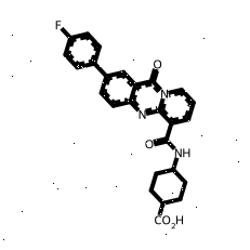 O=C(NC1CCC(C(=O)O)CC1)c1cccn2c(=O)c3cc(-c4ccc(F)cc4)ccc3nc12